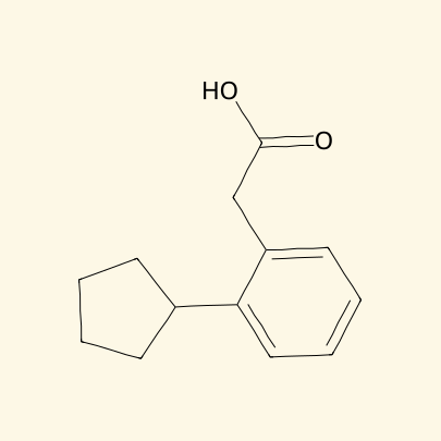 O=C(O)Cc1ccccc1C1CCCC1